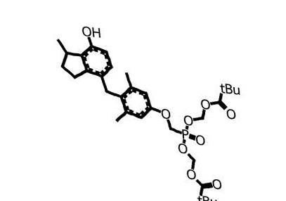 Cc1cc(OCP(=O)(OCOC(=O)C(C)(C)C)OCOC(=O)C(C)(C)C)cc(C)c1Cc1ccc(O)c2c1CCC2C